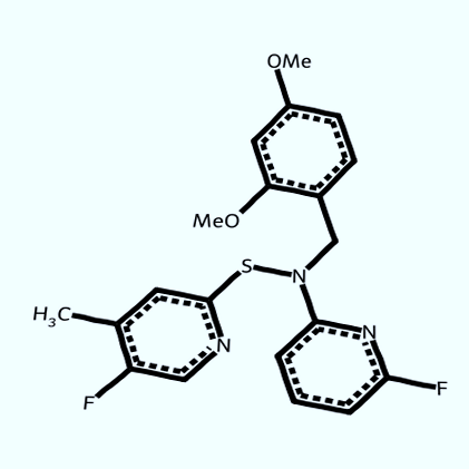 COc1ccc(CN(Sc2cc(C)c(F)cn2)c2cccc(F)n2)c(OC)c1